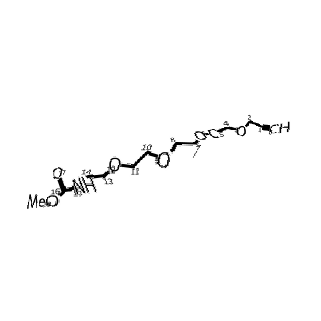 C#CCOCCOCCOCCOCCNC(=O)OC